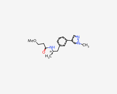 COCCC(=O)N[C@H](C)Cc1c[c]cc(-c2cnn(C)c2)c1